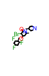 Cc1cc(OCc2c(F)cc(F)cc2F)c(Br)c(=O)n1Cc1ccncc1